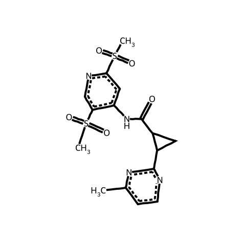 Cc1ccnc(C2CC2C(=O)Nc2cc(S(C)(=O)=O)ncc2S(C)(=O)=O)n1